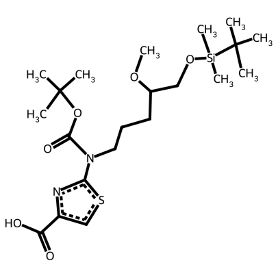 COC(CCCN(C(=O)OC(C)(C)C)c1nc(C(=O)O)cs1)CO[Si](C)(C)C(C)(C)C